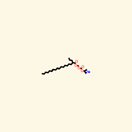 CCCCCC=CCC=CCCCCCCC(CCC)C(=O)OCOC(=O)OC1CN(C)C1